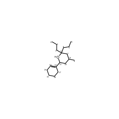 CCCC1(CCC)CC(C)CC(C2=CCCCC2)O1